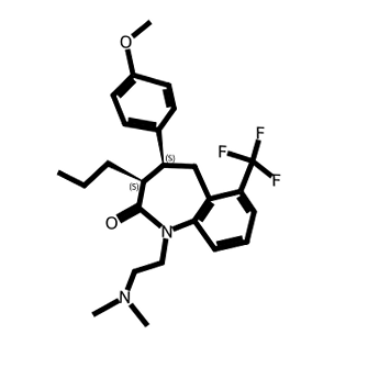 CCC[C@@H]1C(=O)N(CCN(C)C)c2cccc(C(F)(F)F)c2C[C@@H]1c1ccc(OC)cc1